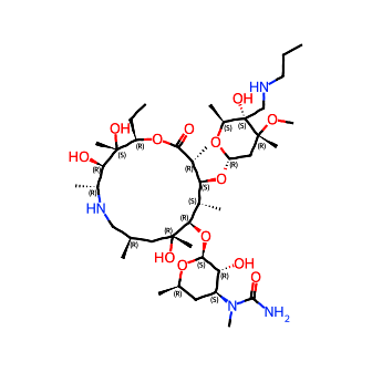 CCCNC[C@]1(O)[C@H](C)O[C@@H](O[C@H]2[C@H](C)[C@@H](O[C@@H]3O[C@H](C)C[C@H](N(C)C(N)=O)[C@H]3O)[C@](C)(O)C[C@@H](C)CN[C@H](C)[C@@H](O)[C@](C)(O)[C@@H](CC)OC(=O)[C@@H]2C)C[C@@]1(C)OC